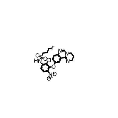 O=[N+]([O-])c1ccc(NS(=O)(=O)CCCF)c(Cl)c1Oc1ccc2c(c1)C1=NCCCN1C=N2